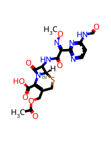 CON=C(C(=O)NC1C(=O)N2C(C(=O)O)=C(COC(C)=O)CS[C@@H]12)c1nccc(NC=O)n1